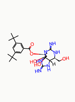 CC(C)(C)c1cc(C(=O)O[C@H]2CN3C(=N)N[C@@H](CO)[C@@H]4NC(=N)N[C@@]43C2(O)O)cc(C(C)(C)C)c1